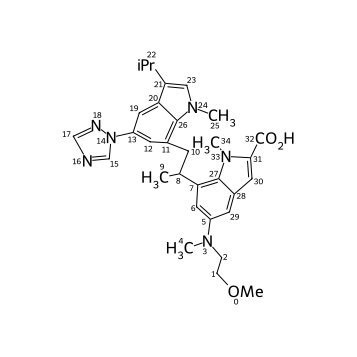 COCCN(C)c1cc(C(C)Cc2cc(-n3cncn3)cc3c(C(C)C)cn(C)c23)c2c(c1)cc(C(=O)O)n2C